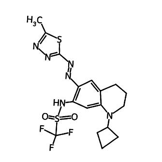 Cc1nnc(N=Nc2cc3c(cc2NS(=O)(=O)C(F)(F)F)N(C2CCC2)CCC3)s1